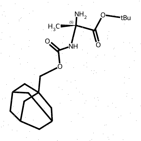 CC(C)(C)OC(=O)[C@@](C)(N)NC(=O)OCC12CC3CC(CC(C3)C1)C2